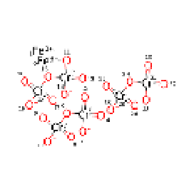 [Fe+3].[Fe+3].[O]=[Cr](=[O])([O-])[O][Cr](=[O])(=[O])[O-].[O]=[Cr](=[O])([O-])[O][Cr](=[O])(=[O])[O-].[O]=[Cr](=[O])([O-])[O][Cr](=[O])(=[O])[O-]